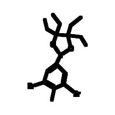 CCC1(CC)OB(c2cc(Br)c(C)c(Br)c2)OC1(CC)CC